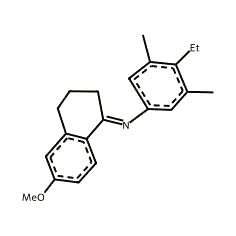 CCc1c(C)cc(/N=C2\CCCc3cc(OC)ccc32)cc1C